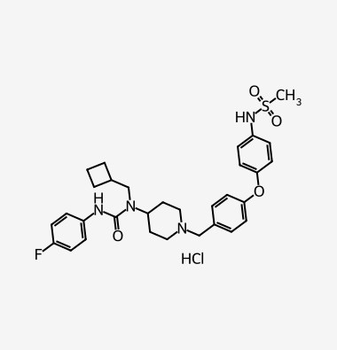 CS(=O)(=O)Nc1ccc(Oc2ccc(CN3CCC(N(CC4CCC4)C(=O)Nc4ccc(F)cc4)CC3)cc2)cc1.Cl